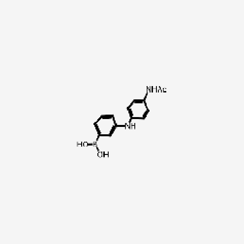 CC(=O)Nc1ccc(Nc2cccc(B(O)O)c2)cc1